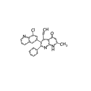 C#Cc1c(-c2cc(Cl)c3ncccc3c2)c(-c2ccccc2)nc2[nH]c(C)cc(=O)c12